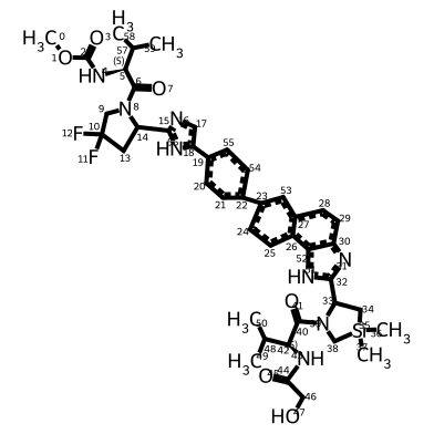 COC(=O)N[C@H](C(=O)N1CC(F)(F)CC1c1ncc(-c2ccc(-c3ccc4c(ccc5nc(C6C[Si](C)(C)CN6C(=O)[C@@H](NC(=O)CO)C(C)C)[nH]c54)c3)cc2)[nH]1)C(C)C